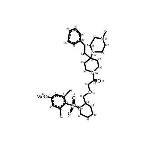 COc1cc(C)c(S(=O)(=O)N2CCCCC2COCC(=O)N2CCC(CCc3ccccc3)(N3CCN(C)CC3)CC2)c(C)c1